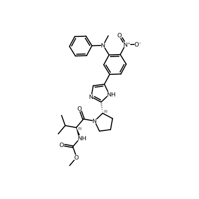 COC(=O)N[C@H](C(=O)N1CCC[C@H]1c1ncc(-c2ccc([N+](=O)[O-])c(N(C)c3ccccc3)c2)[nH]1)C(C)C